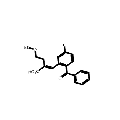 CCOCCC(=Cc1cc(Cl)ccc1C(=O)c1ccccc1)C(=O)O